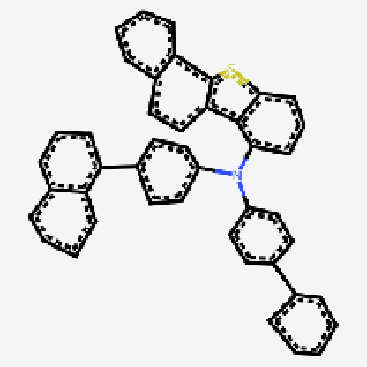 c1ccc(-c2ccc(N(c3ccc(-c4cccc5ccccc45)cc3)c3cccc4sc5c6ccccc6ccc5c34)cc2)cc1